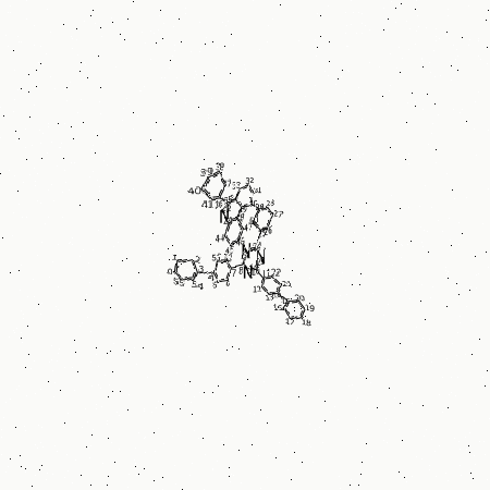 c1ccc(-c2ccc(-c3nc(-c4ccc(-c5ccccc5)cc4)nc(-c4cccc(-c5cccc6c(-c7ccccc7)nc7ccccc7c56)c4)n3)cc2)cc1